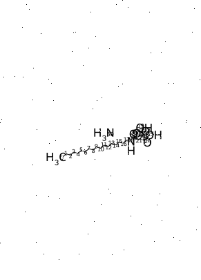 CCCCCCCCCCCCCCCCCCNC(=O)CC(C(=O)O)S(=O)(=O)O.N